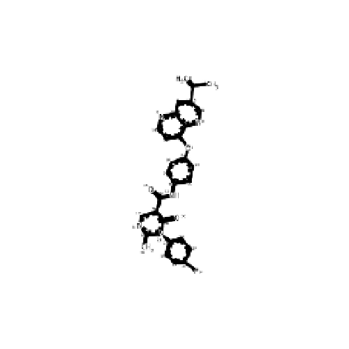 C=C(C)c1cnc2c(Oc3ccc(NC(=O)c4cnc(C)n(-c5ccc(F)cc5)c4=O)cc3)ccnc2c1